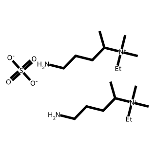 CC[N+](C)(C)C(C)CCCN.CC[N+](C)(C)C(C)CCCN.O=S(=O)([O-])[O-]